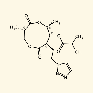 CC(C)C(=O)O[C@H]1[C@H](C)OC(=O)[C@@H](C)COC(=O)[C@@H]1CCn1ccnn1